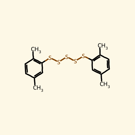 Cc1ccc(C)c(SSSSSc2cc(C)ccc2C)c1